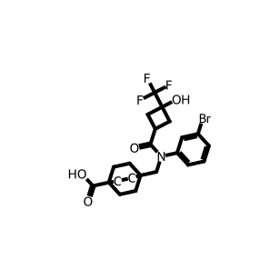 O=C(C1CC(O)(C(F)(F)F)C1)N(CC12CCC(C(=O)O)(CC1)CC2)c1cccc(Br)c1